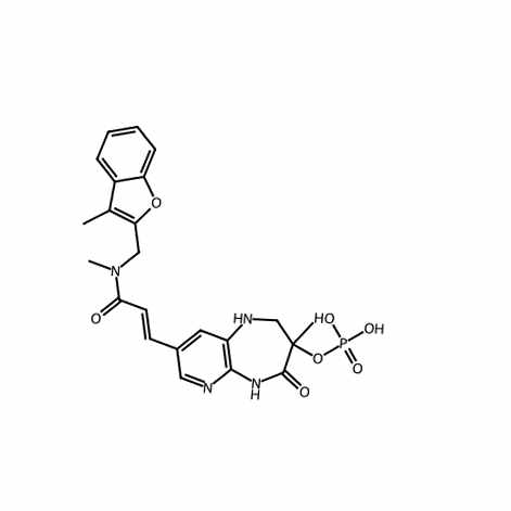 Cc1c(CN(C)C(=O)C=Cc2cnc3c(c2)NCC(C)(OP(=O)(O)O)C(=O)N3)oc2ccccc12